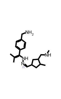 CNCC1CC(/C=N\NC(=C(C)C)c2ccc(CN)cc2)CC1C